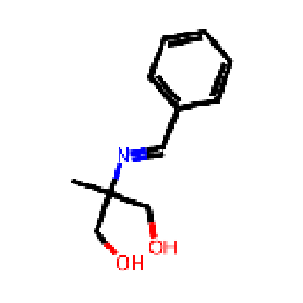 CC(CO)(CO)N=Cc1ccccc1